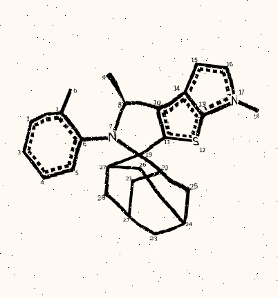 Cc1ccccc1N1[C@@H](C)c2c(sc3c2ccn3C)C12C1CC3CC(C1)CC2C3